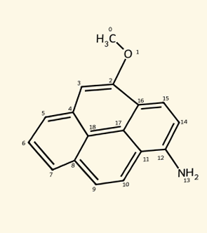 COc1cc2cccc3ccc4c(N)ccc1c4c32